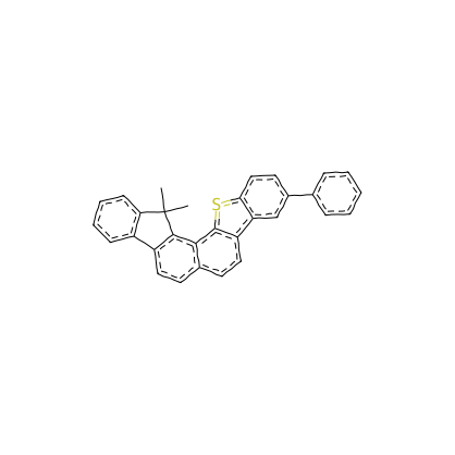 CC1(C)c2ccccc2-c2ccc3ccc4c5cc(-c6ccccc6)ccc5sc4c3c21